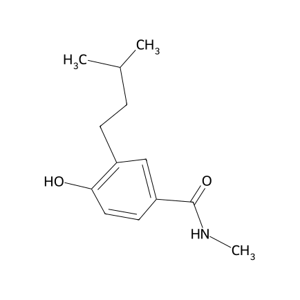 CNC(=O)c1ccc(O)c(CCC(C)C)c1